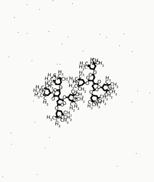 CC1(C)CC(OC(=O)CC(C(=O)OC2CC(C)(C)NC(C)(C)C2)C(CC(=O)OC2CC(C)(C)NC(C)(C)C2)C(=O)OC2CC(C)(C)NC(C)(C)C2)CC(C)(C)N1.CN1C(C)(C)CC(OC(=O)CC(C(=O)OC2CC(C)(C)N(C)C(C)(C)C2)C(CC(=O)OC2CC(C)(C)N(C)C(C)(C)C2)C(=O)OC2CC(C)(C)N(C)C(C)(C)C2)CC1(C)C